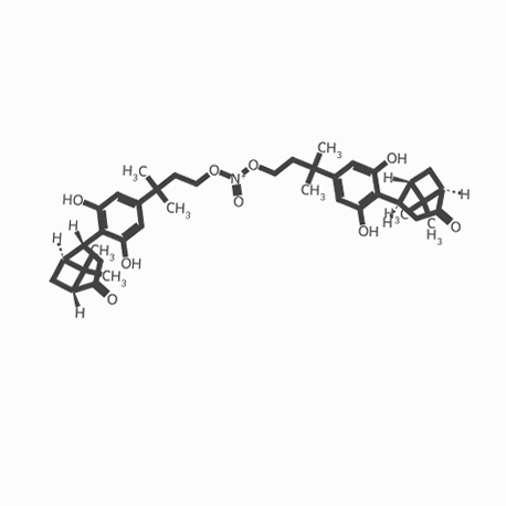 CC(C)(CCO[N+](=O)OCCC(C)(C)c1cc(O)c([C@@H]2CC(=O)[C@@H]3C[C@@H]2C3(C)C)c(O)c1)c1cc(O)c([C@@H]2CC(=O)[C@@H]3C[C@@H]2C3(C)C)c(O)c1